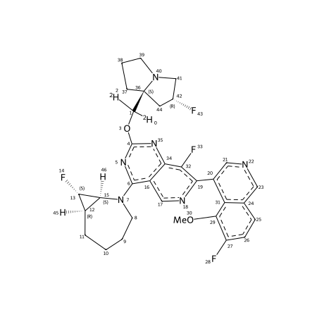 [2H]C([2H])(Oc1nc(N2CCCC[C@H]3[C@H](F)[C@H]32)c2cnc(-c3cncc4ccc(F)c(OC)c34)c(F)c2n1)[C@@]12CCCN1C[C@H](F)C2